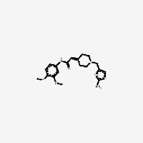 COc1ccc(NC(=O)C=C2CCN(Cc3cnc(N)s3)CC2)cc1OC